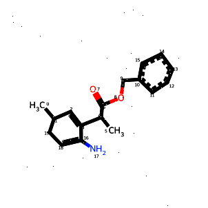 CC1C=C(C(C)C(=O)OCc2ccccc2)C(N)=CC1